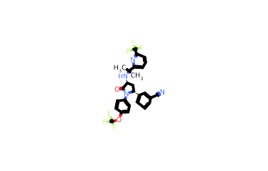 CC(C)(N[C@@H]1C[C@H](c2cccc(C#N)c2)N(c2ccc(OC(F)(F)F)cc2)C1=O)c1cccc(C(F)(F)F)n1